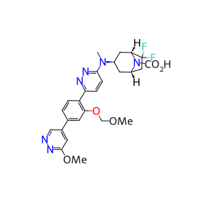 COCOc1cc(-c2cnnc(OC)c2)ccc1-c1ccc(N(C)[C@@H]2C[C@H]3CC(F)(F)[C@@H](C2)N3C(=O)O)nn1